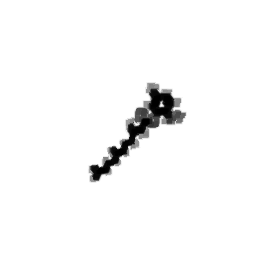 CC(C)=CCC/C(C)=C/CC/C(C)=C/C(=O)Oc1cc(C)ccc1C(C)C